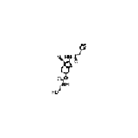 N#Cc1c(NC(=O)C=Cc2ccsc2)sc2c1CCC(OC(=O)NCCO)C2